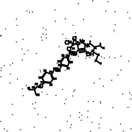 CCCCC(CC)Cn1nc(C(Cl)(Cl)Cl)c(/N=N/c2ccc(/N=N/c3ccc(OCC(C)C)cc3)cc2)c1O